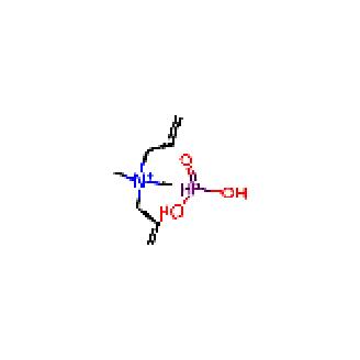 C=CC[N+](C)(C)CC=C.O=[PH](O)O